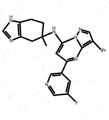 CC(C)c1cnn2c(NC3(C)CCc4[nH]cnc4C3)cc(-c3cncc(F)c3)nc12